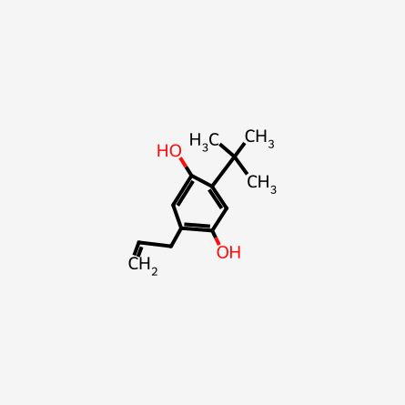 C=CCc1cc(O)c(C(C)(C)C)cc1O